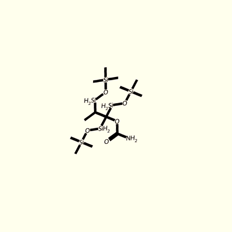 CC([SiH2]O[Si](C)(C)C)C(OC(N)=O)([SiH2]O[Si](C)(C)C)[SiH2]O[Si](C)(C)C